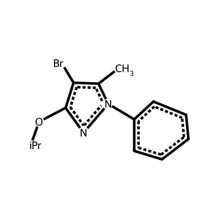 Cc1c(Br)c(OC(C)C)nn1-c1ccccc1